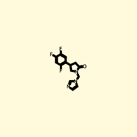 O=C1CC(c2cc(F)c(F)cc2F)CN1Cn1ccnc1